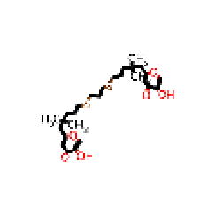 CC(C)(CCCSCCCSCCCC(C)(C)Cc1cc(=O)c(O)co1)Cc1cc(=O)c(O)co1